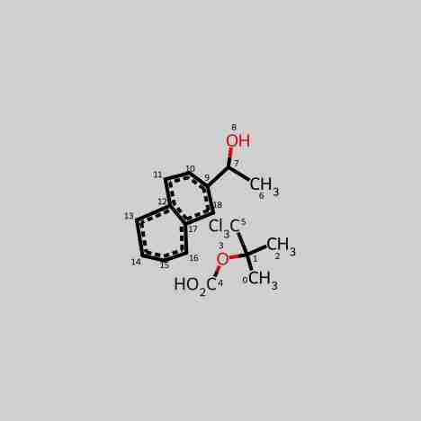 CC(C)(OC(=O)O)C(Cl)(Cl)Cl.CC(O)c1ccc2ccccc2c1